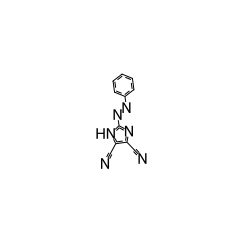 N#Cc1nc(N=Nc2ccccc2)[nH]c1C#N